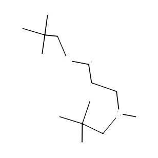 CN(CCCOCC(C)(C)C)CC(C)(C)C